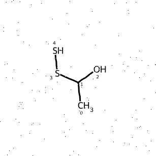 CC(O)SS